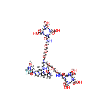 CCOc1ccc(C(=O)N2CCN(c3ccc(-c4cccnc4OCC)nc3CNCCCN(CCOCCOCCOCCNC(=O)CN3CCN(CC(=O)O)CCN(CC(=O)O)CCN(CC(=O)O)CC3)CCOCCOCCOCCNC(=O)CN3CCN(CC(=O)O)CCN(CC(=O)O)CCN(CC(=O)O)CC3)[C@H](CC)C2)c(C(F)(F)F)n1